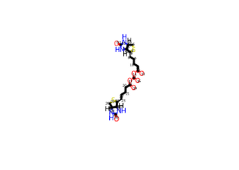 O=C1N[C@H]2[C@H](CS[C@H]2CCCCC(=O)OC(=O)OC(=O)CCCC[C@@H]2SC[C@@H]3NC(=O)N[C@@H]32)N1